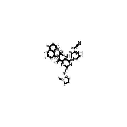 CN1CCC[C@H]1COc1nc(N2CCN[C@@H](CC#N)C2)c2[nH]c(=O)n(-c3cccc4cccc(Cl)c34)c(=O)c2n1